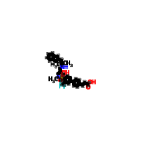 CN(CC(O)CNC(C)(C)CC1Cc2ccccc2C1)S(=O)(=O)c1ccc(-c2ccc(CCC(=O)O)cc2)cc1C(F)(F)F